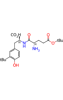 CC(C)(C)OC(=O)CC[C@H](N)C(=O)N[C@@H](Cc1ccc(O)c(C(C)(C)C)c1)C(=O)O